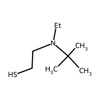 CCN(CCS)C(C)(C)C